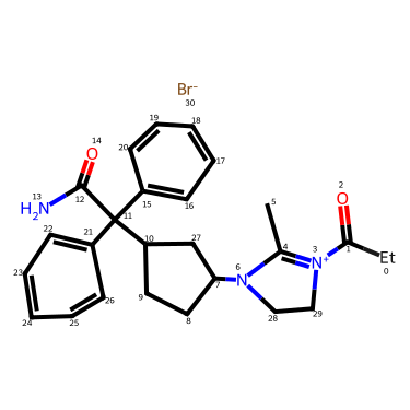 CCC(=O)[N+]1=C(C)N(C2CCC(C(C(N)=O)(c3ccccc3)c3ccccc3)C2)CC1.[Br-]